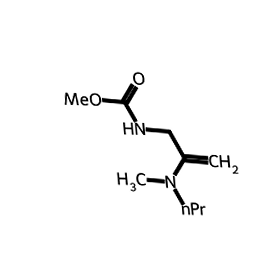 C=C(CNC(=O)OC)N(C)CCC